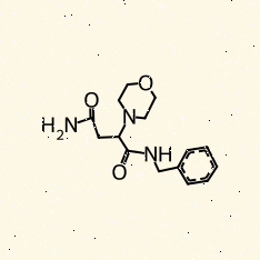 NC(=O)CC(C(=O)NCc1ccccc1)N1CCOCC1